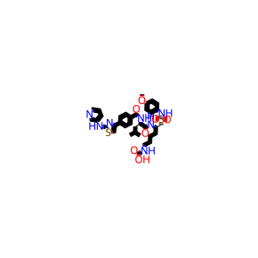 COc1ccc(NS(=O)(=O)C[C@H](CCCCNC(=O)O)NC(=O)[C@H](CC(C)C)NC(=O)c2ccc(-c3csc(Nc4cccnc4)n3)cc2)cc1